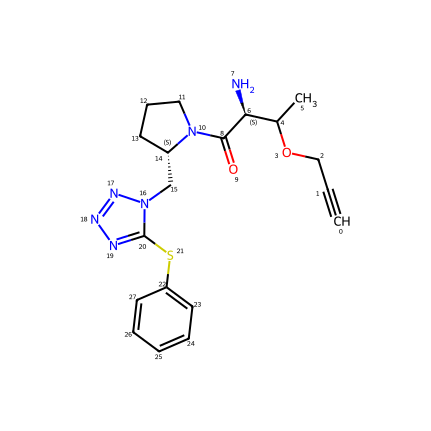 C#CCOC(C)[C@H](N)C(=O)N1CCC[C@H]1Cn1nnnc1Sc1ccccc1